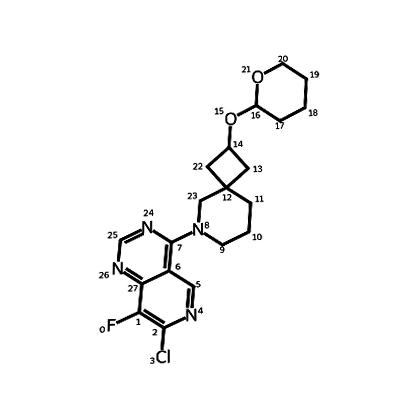 Fc1c(Cl)ncc2c(N3CCCC4(CC(OC5CCCCO5)C4)C3)ncnc12